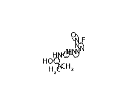 CN(C)c1cc(O)cc(Nc2ccc(C3CCCN(c4ncc(F)c(N5CCOCC5)n4)N3)nc2)c1